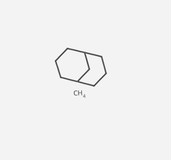 C.C1CC2CCCC(C1)C2